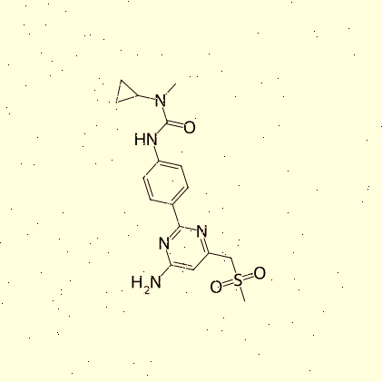 CN(C(=O)Nc1ccc(-c2nc(N)cc(CS(C)(=O)=O)n2)cc1)C1CC1